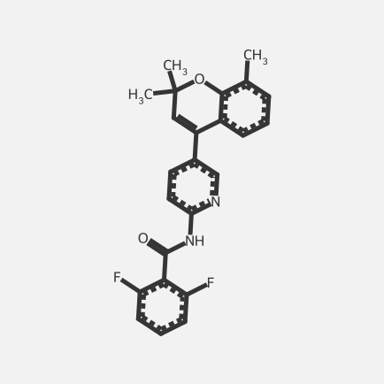 Cc1cccc2c1OC(C)(C)C=C2c1ccc(NC(=O)c2c(F)cccc2F)nc1